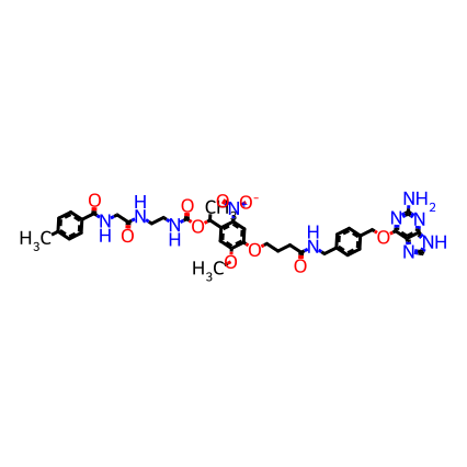 COc1cc(C(C)OC(=O)NCCNC(=O)CNC(=O)c2ccc(C)cc2)c([N+](=O)[O-])cc1OCCCC(=O)NCc1ccc(COc2nc(N)nc3[nH]cnc23)cc1